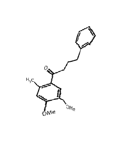 COc1cc(C)c(C(=O)CCCc2ccccc2)cc1OC